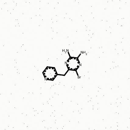 Nc1nc(Br)c(Cc2cccnc2)nc1N